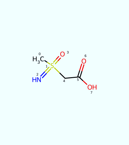 CS(=N)(=O)CC(=O)O